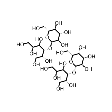 OC[C@@H](O)[C@@H](O[C@@H]1O[C@H](CO)[C@H](O)[C@H](O)[C@H]1O)[C@H](O)[C@@H](O)CO.OC[C@@H](O)[C@@H](O[C@H]1O[C@H](CO)[C@@H](O)[C@H](O)[C@H]1O)[C@H](O)[C@@H](O)CO